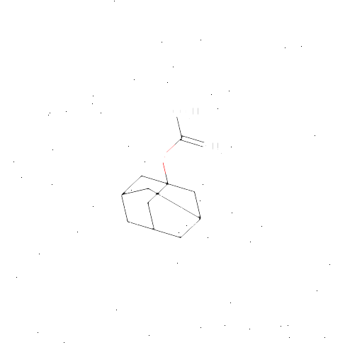 C=C(OC12CC3CC(CC(C3)C1)C2)C(=O)O